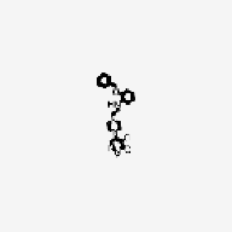 Cn1ncc(N2CCN(CCNc3ccccc3OCc3ccccc3)CC2)c(Cl)c1=O